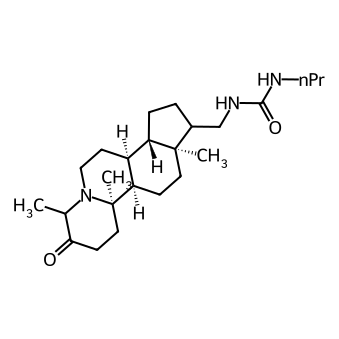 CCCNC(=O)NCC1CC[C@H]2[C@@H]3CCN4C(C)C(=O)CC[C@]4(C)[C@@H]3CC[C@]12C